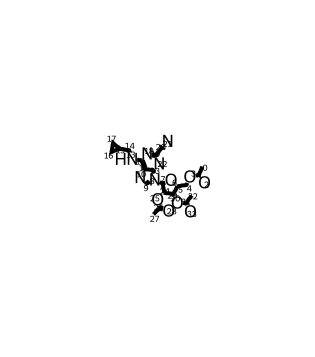 CC(=O)OCC1OC(n2cnc3c(NCC4CC4)nc(C#N)nc32)C(OC(C)=O)C1OC(C)=O